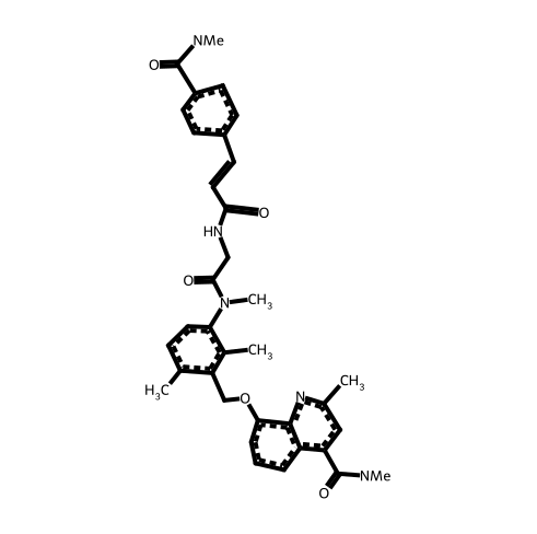 CNC(=O)c1ccc(C=CC(=O)NCC(=O)N(C)c2ccc(C)c(COc3cccc4c(C(=O)NC)cc(C)nc34)c2C)cc1